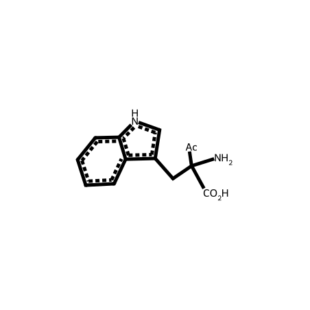 CC(=O)C(N)(Cc1c[nH]c2ccccc12)C(=O)O